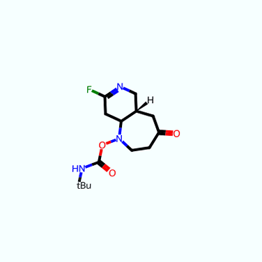 CC(C)(C)NC(=O)ON1CCC(=O)C[C@H]2CN=C(F)CC21